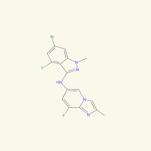 Cc1cn2cc(Nc3nn(C)c4cc(Br)cc(F)c34)cc(F)c2n1